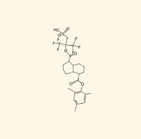 Cc1cc(C)c(OC(=O)C2CCCC3C(C(=O)OC(CS(=O)(=O)O)(C(F)(F)F)C(F)(F)F)CCCC23)c(C)c1